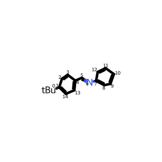 CC(C)(C)c1ccc(/C=N/c2ccccc2)cc1